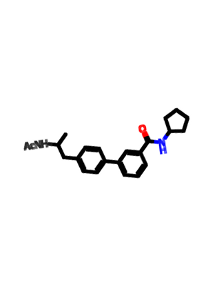 CC(=O)NC(C)Cc1ccc(-c2cccc(C(=O)NC3CCCC3)c2)cc1